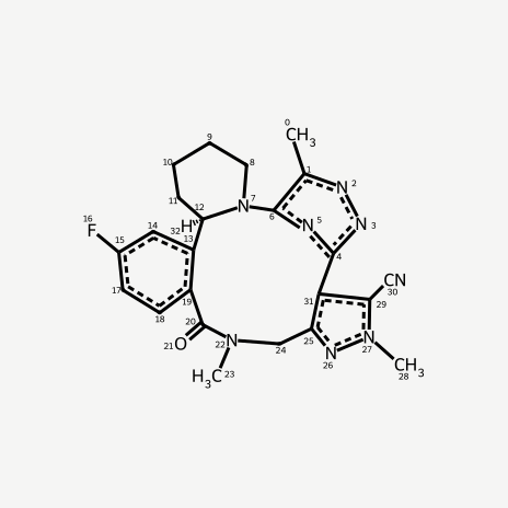 Cc1nnc2nc1N1CCCC[C@@H]1c1cc(F)ccc1C(=O)N(C)Cc1nn(C)c(C#N)c1-2